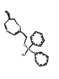 C=C1C=NC=C(CO[Si](c2ccccc2)(c2ccccc2)C(C)(C)C)OC1